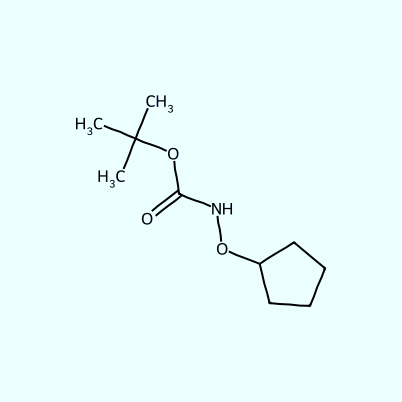 CC(C)(C)OC(=O)NOC1CCCC1